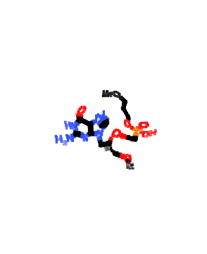 CCOC[C@H](Cn1cnc2c(=O)[nH]c(N)nc21)OCP(=O)(O)OCCCOC